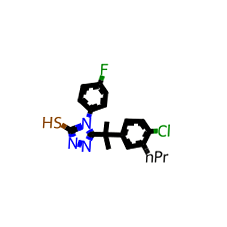 CCCc1cc(C(C)(C)c2nnc(S)n2-c2ccc(F)cc2)ccc1Cl